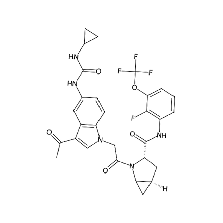 CC(=O)c1cn(CC(=O)N2C3C[C@@H]3C[C@H]2C(=O)Nc2cccc(OC(F)(F)F)c2F)c2ccc(NC(=O)NC3CC3)cc12